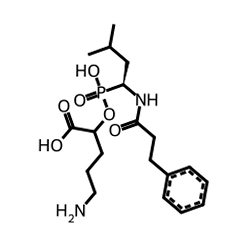 CC(C)C[C@@H](NC(=O)CCc1ccccc1)P(=O)(O)OC(CCCN)C(=O)O